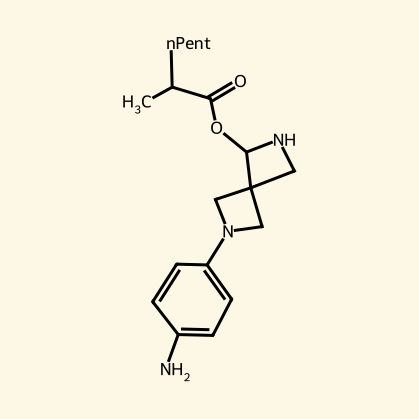 CCCCCC(C)C(=O)OC1NCC12CN(c1ccc(N)cc1)C2